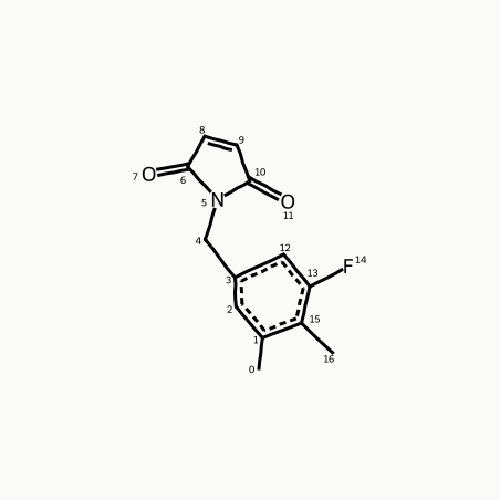 Cc1cc(CN2C(=O)C=CC2=O)cc(F)c1C